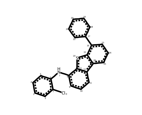 Clc1ccccc1Nc1cccc2c1sc1c(-c3ccccc3)cccc12